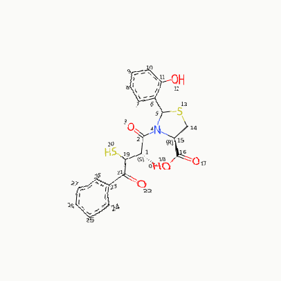 C[C@@H](C(=O)N1C(c2ccccc2O)SC[C@H]1C(=O)O)C(S)C(=O)c1ccccc1